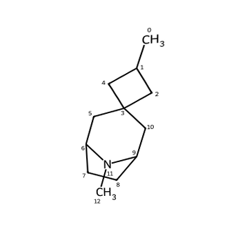 CC1CC2(C1)CC1CCC(C2)N1C